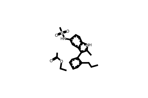 CCCc1ccccc1-c1c(C)[nH]c2ccc(NS(C)(=O)=O)cc12.CCOC(C)=O